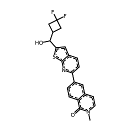 Cn1ccc2cc(-c3ccc4cc(C(O)C5CC(F)(F)C5)sc4n3)ccc2c1=O